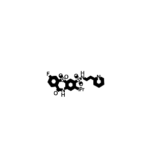 CC(C)c1cc2c(cc1S(=O)(=O)NCCc1ccccn1)S(=O)(=O)c1cc(F)ccc1C(=O)N2